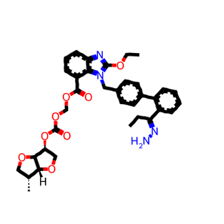 CCOc1nc2cccc(C(=O)OCOC(=O)O[C@H]3CO[C@H]4C3OC[C@H]4C)c2n1Cc1ccc(-c2ccccc2/C(CC)=N/N)cc1